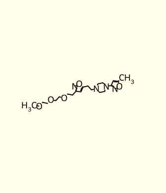 COCCOCCOCCc1cc(CCN2CCN(c3cc(C)on3)CC2)on1